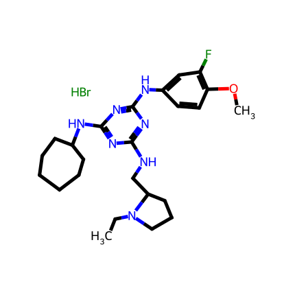 Br.CCN1CCCC1CNc1nc(Nc2ccc(OC)c(F)c2)nc(NC2CCCCCC2)n1